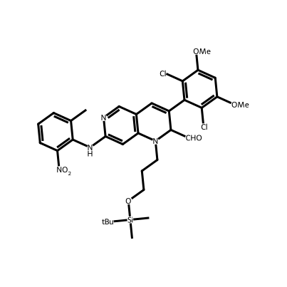 COc1cc(OC)c(Cl)c(C2=Cc3cnc(Nc4c(C)cccc4[N+](=O)[O-])cc3N(CCCO[Si](C)(C)C(C)(C)C)C2C=O)c1Cl